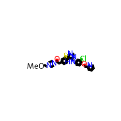 COCCN1CCN(C(=O)Cc2ccc3c(c2)sc2ncnc(Nc4ccc(OCc5ccccn5)c(Cl)c4)c23)CC1